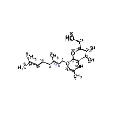 CC(=O)NC1C(OC/C=C(\C)CCC=C(C)C)OC(CO)C(O)C1O